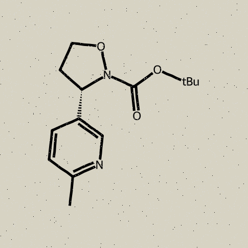 Cc1ccc([C@@H]2CCON2C(=O)OC(C)(C)C)cn1